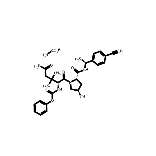 C#Cc1ccc([C@H](C)NC(=O)[C@@H]2C[C@@H](O)CN2C(=O)[C@@H](NC(=O)Oc2ccccc2)C(C)(C)CC(N)=O)cc1.NC(=O)O